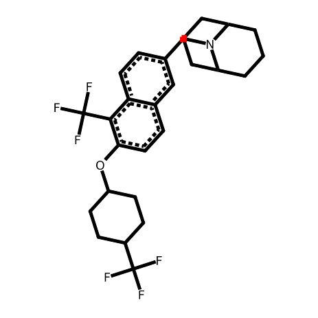 FC(F)(F)c1c(OC2CCC(C(F)(F)F)CC2)ccc2cc(CN3C4CCCC3CCC4)ccc12